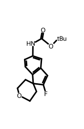 CC(C)(C)OC(=O)Nc1ccc2c(c1)C=C(F)C21CCOCC1